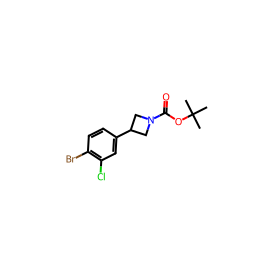 CC(C)(C)OC(=O)N1CC(c2ccc(Br)c(Cl)c2)C1